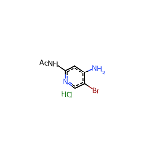 CC(=O)Nc1cc(N)c(Br)cn1.Cl